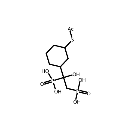 CC(=O)SC1CCCC(C(O)(CP(=O)(O)O)P(=O)(O)O)C1